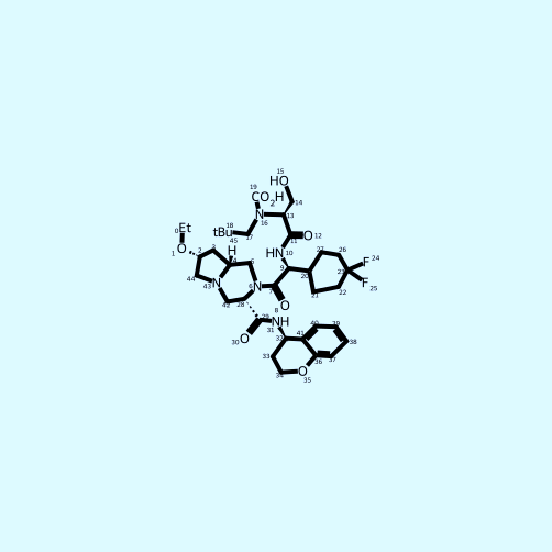 CCO[C@@H]1C[C@@H]2CN(C(=O)[C@@H](NC(=O)[C@H](CO)N(CC(C)(C)C)C(=O)O)C3CCC(F)(F)CC3)[C@H](C(=O)N[C@@H]3CCOc4ccccc43)CN2C1